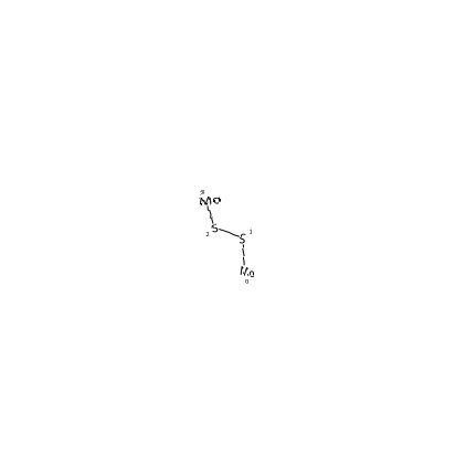 [Mo][S][S][Mo]